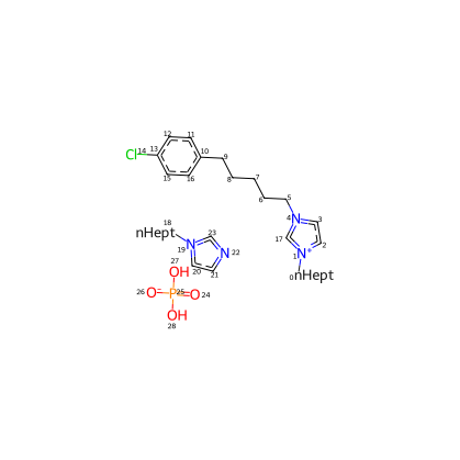 CCCCCCC[n+]1ccn(CCCCCc2ccc(Cl)cc2)c1.CCCCCCCn1ccnc1.O=P([O-])(O)O